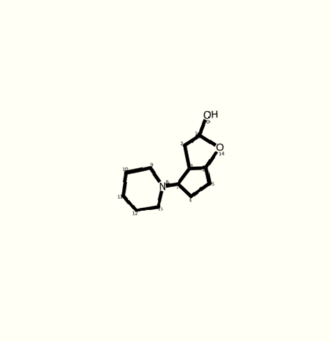 OC1CC2C(CCC2N2CCCCC2)O1